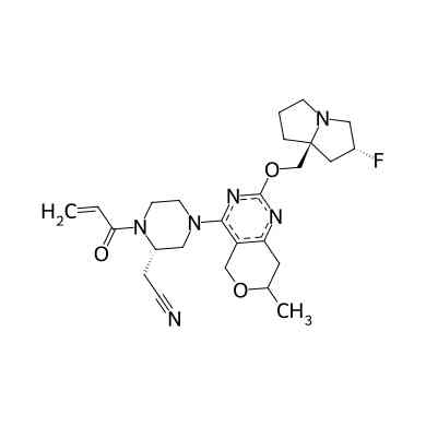 C=CC(=O)N1CCN(c2nc(OC[C@@]34CCCN3C[C@H](F)C4)nc3c2COC(C)C3)C[C@@H]1CC#N